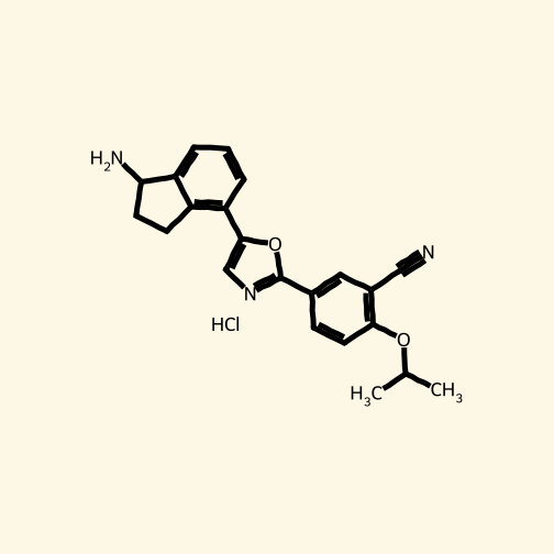 CC(C)Oc1ccc(-c2ncc(-c3cccc4c3CCC4N)o2)cc1C#N.Cl